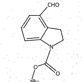 CC(C)(C)OC(=O)N1CCc2c(C=O)cccc21